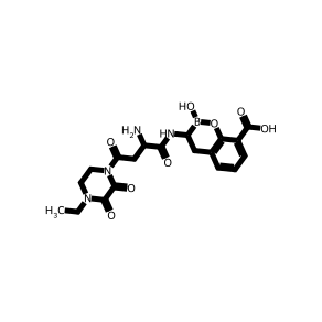 CCN1CCN(C(=O)CC(N)C(=O)NC2Cc3cccc(C(=O)O)c3OB2O)C(=O)C1=O